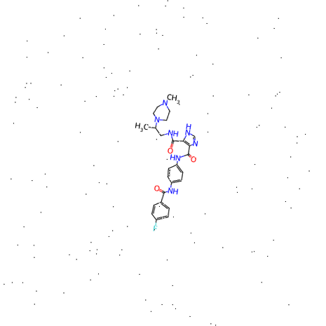 CC(CNC(=O)c1[nH]cnc1C(=O)Nc1ccc(NC(=O)c2ccc(F)cc2)cc1)N1CCN(C)CC1